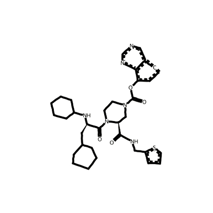 O=C(NCc1cccs1)[C@@H]1CN(C(=O)Oc2cccc3cncnc23)CCN1C(=O)[C@@H](CC1CCCCC1)NC1CCCCC1